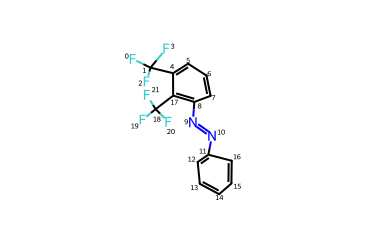 FC(F)(F)c1cccc(N=Nc2ccccc2)c1C(F)(F)F